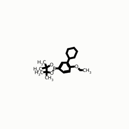 CCOc1ccc(B2OC(C)(C)C(C)(C)O2)cc1C1CCCCC1